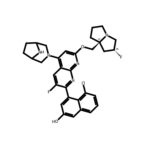 Oc1cc(-c2nc3nc(OC[C@@]45CCCN4C[C@H](F)C5)cc(N4CC5CCC(C4)N5)c3cc2F)c2c(Cl)cccc2c1